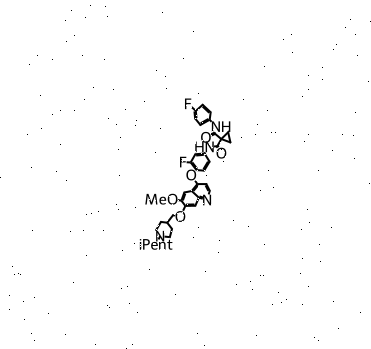 CCCC(C)N1CCC(COc2cc3nccc(Oc4ccc(NC(=O)C5(C(=O)Nc6ccc(F)cc6)CC5)cc4F)c3cc2OC)CC1